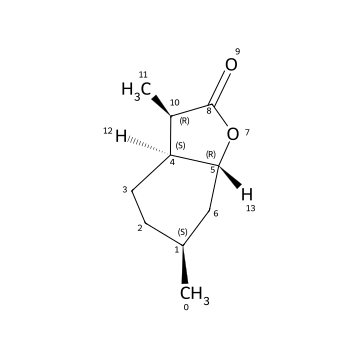 C[C@H]1CC[C@@H]2[C@@H](C1)OC(=O)[C@@H]2C